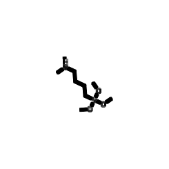 CO[Si](CCCC[SiH](C)C)(OC)OC